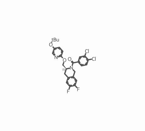 CC(C)(C)Oc1ccc(OC[C@@H]2Cc3cc(F)c(F)cc3CN2C(=O)c2ccc(Cl)c(Cl)c2)nc1